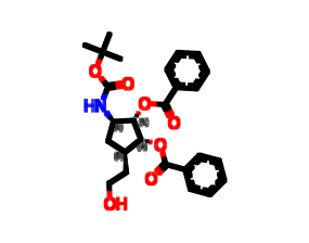 CC(C)(C)OC(=O)N[C@@H]1C[C@H](CCO)[C@@H](OC(=O)c2ccccc2)[C@H]1OC(=O)c1ccccc1